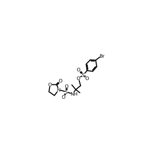 CC(C)(COS(=O)(=O)c1ccc(Br)cc1)NS(=O)(=O)N1CCOC1=O